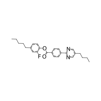 CCCCCc1ccc(OC(=O)c2ccc(-c3ncc(CCCC)cn3)cc2)c(F)c1